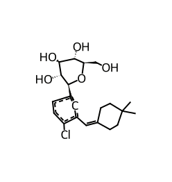 CC1(C)CCC(=Cc2cc([C@@H]3O[C@H](CO)[C@@H](O)[C@H](O)[C@H]3O)ccc2Cl)CC1